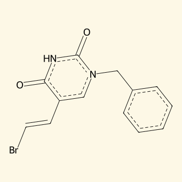 O=c1[nH]c(=O)n(Cc2ccccc2)cc1C=CBr